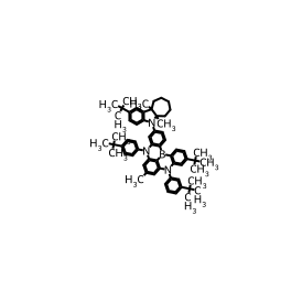 Cc1cc2c3c(c1)N(c1cccc(C(C)(C)C)c1)c1cc(C(C)(C)C)ccc1B3c1ccc(N3c4ccc(C(C)(C)C)cc4C4(C)CCCCCC34C)cc1N2c1ccc(C(C)(C)C)cc1